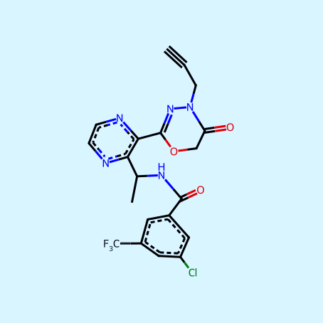 C#CCN1N=C(c2nccnc2C(C)NC(=O)c2cc(Cl)cc(C(F)(F)F)c2)OCC1=O